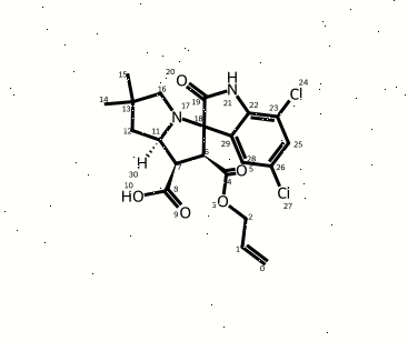 C=CCOC(=O)[C@H]1[C@@H](C(=O)O)[C@H]2CC(C)(C)CN2C12C(=O)Nc1c(Cl)cc(Cl)cc12